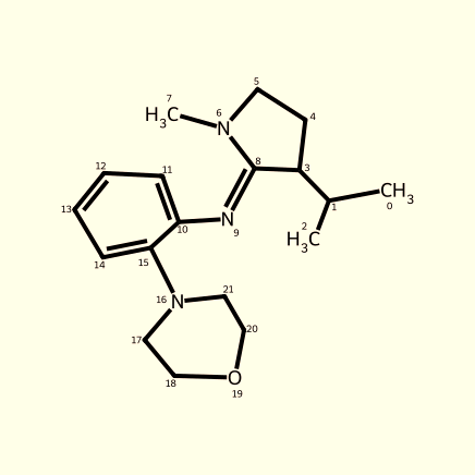 CC(C)C1CCN(C)C1=Nc1ccccc1N1CCOCC1